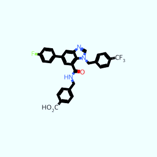 O=C(O)c1ccc(CNC(=O)c2cc(-c3ccc(F)cc3)cc3ncn(Cc4ccc(C(F)(F)F)cc4)c23)cc1